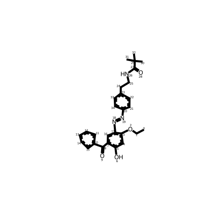 CCOc1cc(O)c(C(=O)c2ccccc2)cc1/N=N/c1ccc(CCNC(=O)C(C)(C)C)cc1